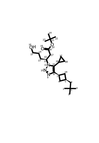 CC(C)(C)C[C@H]1C[C@@H](c2nnn([C@@H](CCCO)CC(=O)OC(C)(C)C)c2C2CC2)C1